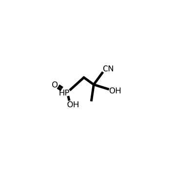 CC(O)(C#N)C[PH](=O)O